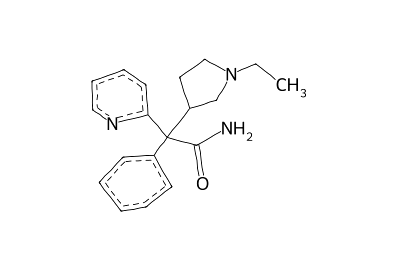 CCN1CCC(C(C(N)=O)(c2ccccc2)c2ccccn2)C1